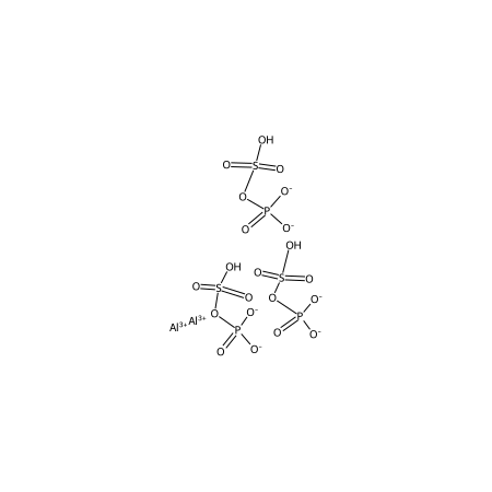 O=P([O-])([O-])OS(=O)(=O)O.O=P([O-])([O-])OS(=O)(=O)O.O=P([O-])([O-])OS(=O)(=O)O.[Al+3].[Al+3]